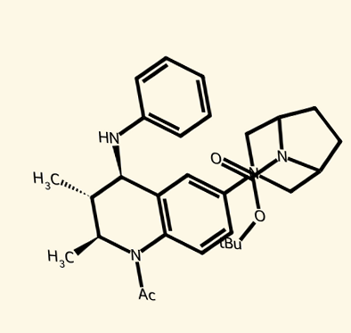 CC(=O)N1c2ccc(N3CC4CCC(C3)N4C(=O)OC(C)(C)C)cc2[C@H](Nc2ccccc2)[C@@H](C)[C@@H]1C